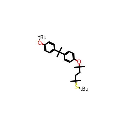 CC(C)(C)Oc1ccc(C(C)(C)c2ccc(OC(C)(C)CCC(C)(C)SC(C)(C)C)cc2)cc1